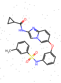 Cc1cccc(S(=O)(=O)Nc2cccc(Oc3ccc4nc(NC(=O)C5CC5)cn4c3)c2)c1